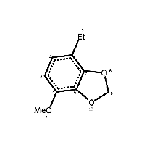 CCc1[c]cc(OC)c2c1OCO2